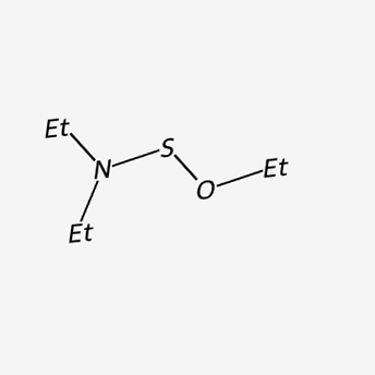 CCOSN(CC)CC